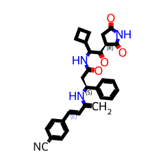 C=C(/C=C/c1ccc(C#N)cc1)N[C@@H](CC(=O)NC(C(=O)[C@H]1CC(=O)NC1=O)C1CCC1)c1ccccc1